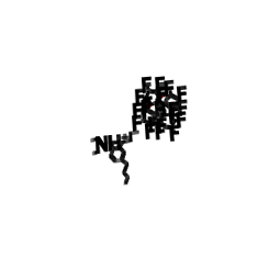 CCCCc1ccc(C[NH+](CC)CC)c(CCCC)c1.Fc1c(F)c(F)c([B-](c2c(F)c(F)c(F)c(F)c2F)(c2c(F)c(F)c(F)c(F)c2F)c2c(F)c(F)c(F)c(F)c2F)c(F)c1F